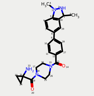 CC1NN(C)c2ccc(-c3ccc(C(=O)N4CCN(C(=O)C5(N)CC5)CC4)cc3)cc21